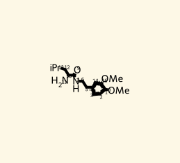 COc1ccc(CCNC(=O)C(N)CC(C)C)cc1OC